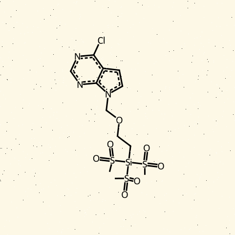 CS(=O)(=O)[Si](CCOCn1ccc2c(Cl)ncnc21)(S(C)(=O)=O)S(C)(=O)=O